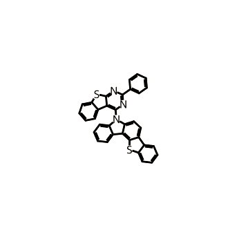 c1ccc(-c2nc(-n3c4ccccc4c4c5sc6ccccc6c5ccc43)c3c(n2)sc2ccccc23)cc1